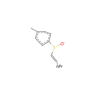 CCCC=C[S+]([O-])c1ccc(C)cc1